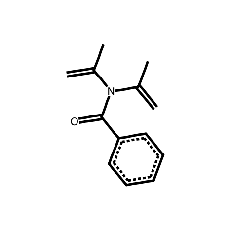 C=C(C)N(C(=C)C)C(=O)c1ccccc1